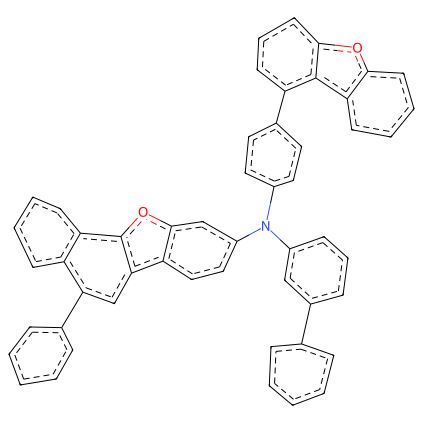 c1ccc(-c2cccc(N(c3ccc(-c4cccc5oc6ccccc6c45)cc3)c3ccc4c(c3)oc3c5ccccc5c(-c5ccccc5)cc43)c2)cc1